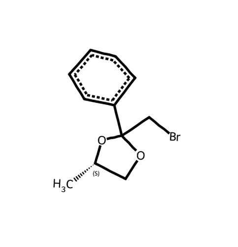 C[C@H]1COC(CBr)(c2ccccc2)O1